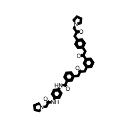 O=C(Cc1cccc(C(=O)Cc2ccc(CC(=O)CN3CCCC3)cc2)c1)Cc1cccc(C(=O)Nc2ccc(NC(=O)CN3CCCC3)cc2)c1